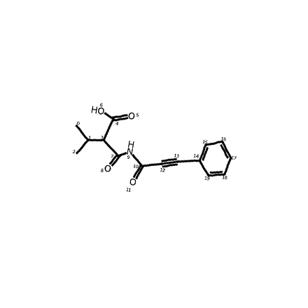 CC(C)C(C(=O)O)C(=O)NC(=O)C#Cc1ccccc1